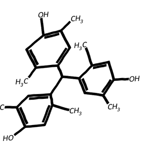 Cc1cc(C(c2cc(C)c(O)cc2C)c2cc(C)c(O)cc2C)c(C)cc1O